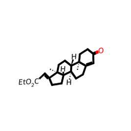 CCOC(=O)C=C1CC[C@H]2[C@@H]3CCC4=CC(=O)CC[C@]4(C)[C@H]3CC[C@]12C